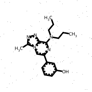 CCCN(CCC)c1nc(-c2cccc(O)c2)cn2c(C)nnc12